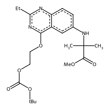 CCc1nc(OCCOC(=O)OC(C)(C)C)c2cc(NC(C)(C)C(=O)OC)ccc2n1